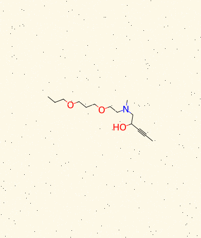 CC#CC(O)CN(C)CCOCCCOCCC